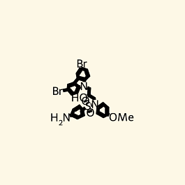 COc1ccc(N(CC(O)Cn2c3ccc(Br)cc3c3cc(Br)ccc32)S(=O)(=O)c2ccc(N)cc2)cc1